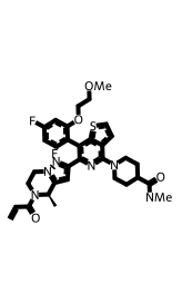 C=CC(=O)N1CCn2nc(-c3nc(N4CCC(C(=O)NC)CC4)c4ccsc4c3-c3c(F)cc(F)cc3OCCOC)cc2[C@H]1C